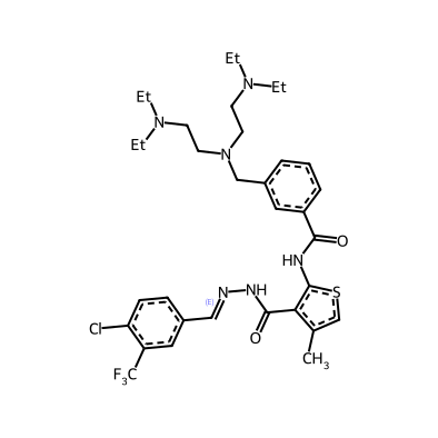 CCN(CC)CCN(CCN(CC)CC)Cc1cccc(C(=O)Nc2scc(C)c2C(=O)N/N=C/c2ccc(Cl)c(C(F)(F)F)c2)c1